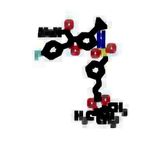 CNC(=O)c1c(-c2ccc(F)cc2)oc2cc(NS(=O)(=O)Cc3cccc(CCB4OC(C)(C)C(C)(C)O4)c3)c(C3CC3)cc12